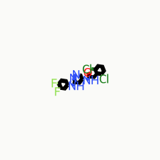 O=C(Cc1c(Cl)cccc1Cl)Nc1cnnc(Nc2ccc(F)c(F)c2)c1